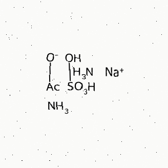 CC(=O)[O-].N.N.O=S(=O)(O)O.[Na+]